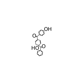 O=C(C1=CCC(O)(C(=O)c2ccccc2)C=C1)c1ccc(O)cc1